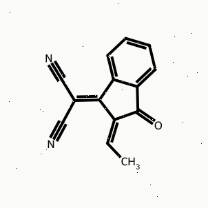 CC=C1C(=O)c2ccccc2C1=C(C#N)C#N